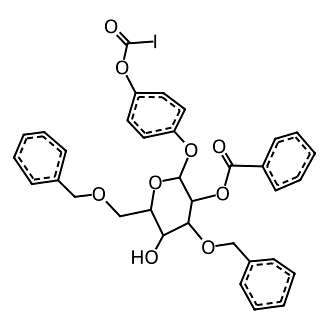 O=C(I)Oc1ccc(OC2OC(COCc3ccccc3)C(O)C(OCc3ccccc3)C2OC(=O)c2ccccc2)cc1